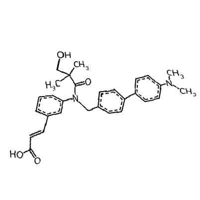 CN(C)c1ccc(-c2ccc(CN(C(=O)C(C)(C)CO)c3cccc(C=CC(=O)O)c3)cc2)cc1